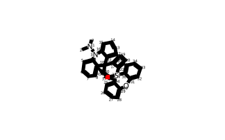 CN(C)N1c2ccccc2C2(c3ccccc31)c1ccccc1[Si]1(c3ccccc3Oc3ccccc31)c1ccccc12